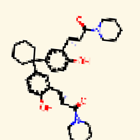 O=C(/C=C/c1cc(C2(c3ccc(O)c(/C=C/C(=O)N4CCCCC4)c3)CCCCC2)ccc1O)N1CCCCC1